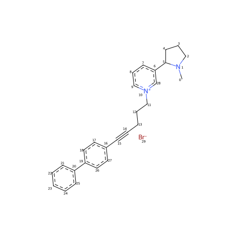 CN1CCCC1c1ccc[n+](CCCC#Cc2ccc(-c3ccccc3)cc2)c1.[Br-]